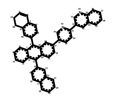 C1=Cc2ccc(-c3c4ccccc4c(-c4ccc5ccccc5c4)c4ccc(-c5ccc(-c6cnc7ccccc7c6)nc5)cc34)cc2CC1